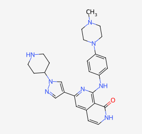 CN1CCN(c2ccc(Nc3nc(-c4cnn(C5CCNCC5)c4)cc4cc[nH]c(=O)c34)cc2)CC1